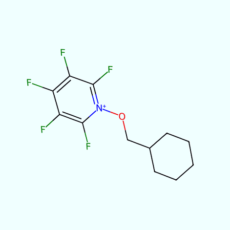 Fc1c(F)c(F)[n+](OCC2CCCCC2)c(F)c1F